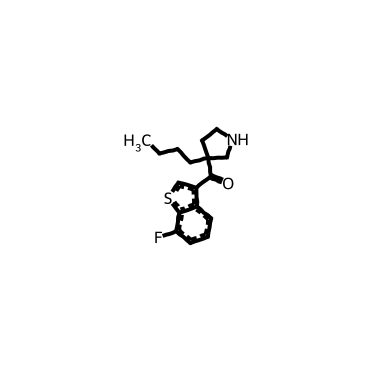 CCCCC1(C(=O)c2csc3c(F)cccc23)CCNC1